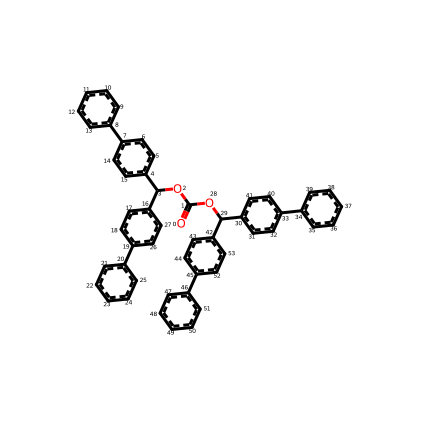 O=C(OC(c1ccc(-c2ccccc2)cc1)c1ccc(-c2ccccc2)cc1)OC(c1ccc(-c2ccccc2)cc1)c1ccc(-c2ccccc2)cc1